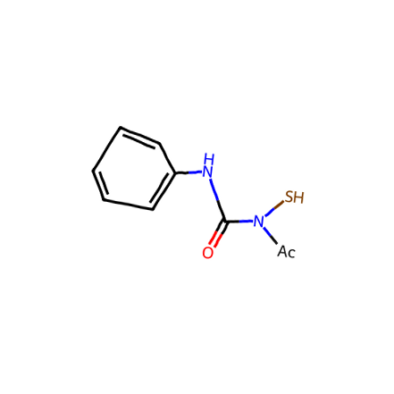 CC(=O)N(S)C(=O)Nc1ccccc1